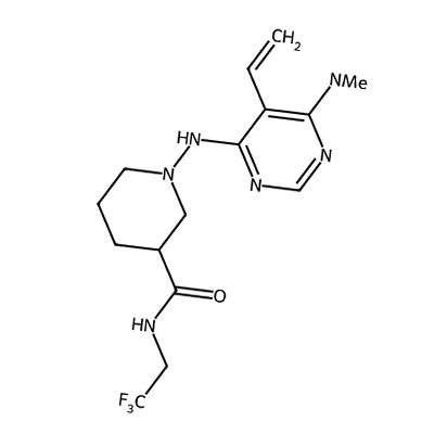 C=Cc1c(NC)ncnc1NN1CCCC(C(=O)NCC(F)(F)F)C1